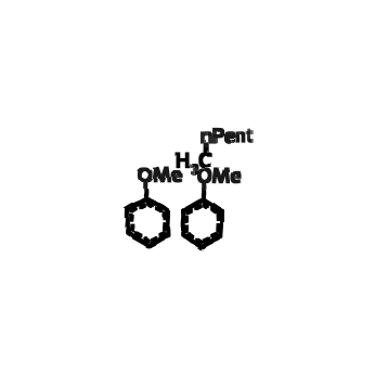 CCCCCC.COc1ccccc1.COc1ccccc1